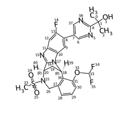 CC(C)(O)c1ncc(-c2cc3c(cc2F)nc2n3[C@@H]3C[C@H]2N(S(C)(=O)=O)Cc2cccc(OC(F)F)c23)cn1